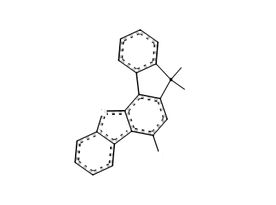 CC1(C)c2ccccc2-c2c1cc(Cl)c1c2[nH]c2ccccc21